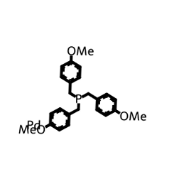 COc1ccc(CP(Cc2ccc(OC)cc2)Cc2ccc(OC)cc2)cc1.[Pd]